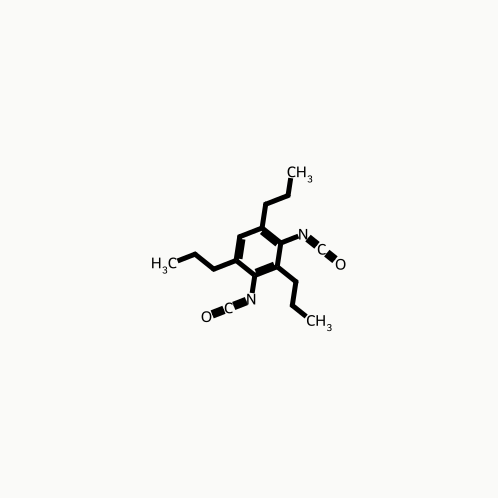 CCCc1cc(CCC)c(N=C=O)c(CCC)c1N=C=O